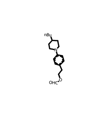 CCCCC1CCN(c2ccc(CCOC=O)cc2)CC1